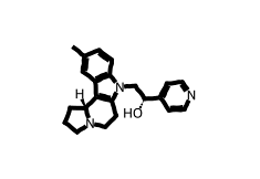 Cc1ccc2c(c1)c1c(n2C[C@@H](O)c2ccncc2)CCN2CCC[C@H]12